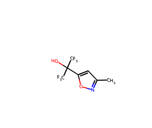 Cc1cc(C(O)(C(F)(F)F)C(F)(F)F)on1